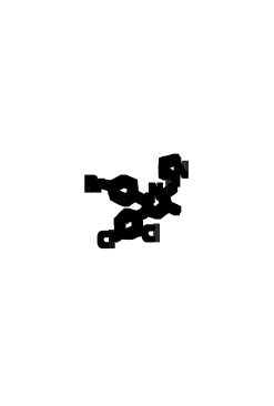 Cc1cc(-c2ccc(Cl)cc2Cl)c(-c2ccc(Br)cc2)nc1Cn1cccn1